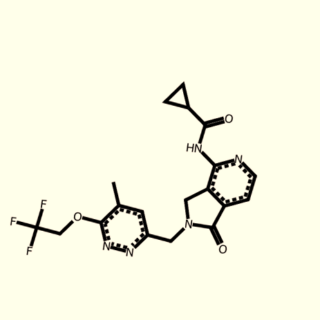 Cc1cc(CN2Cc3c(ccnc3NC(=O)C3CC3)C2=O)nnc1OCC(F)(F)F